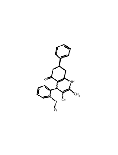 CC1=C(C#N)C(c2ccccc2OC(C)C)C2=C(CC(c3ccccc3)CC2=O)N1